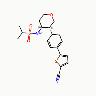 CC(C)S(=O)(=O)N[C@H]1CCOC[C@@H]1C1C=CC(c2ccc(C#N)s2)=CC1